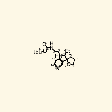 CCC(NCCNC(=O)OC(C)(C)C)C1(c2cccnc2)OCCO1